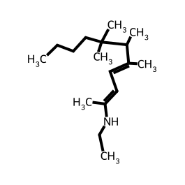 CCCCC(C)(C)C(C)/C(C)=C/C=C(\C)NCC